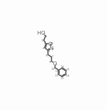 OCCc1cc(CCCOCc2ccccc2)no1